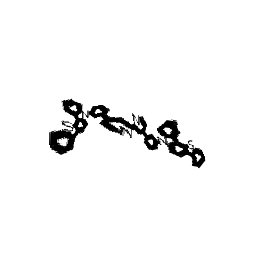 c1cc(-c2ccnc(-c3cc(-c4cccc(-n5c6ccccc6c6c7sc8ccccc8c7ccc65)c4)ccn3)c2)cc(-n2c3ccccc3c3c4sc5ccccc5c4ccc32)c1